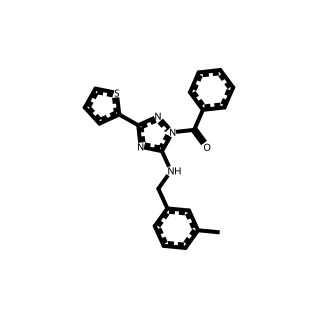 Cc1cccc(CNc2nc(-c3cccs3)nn2C(=O)c2ccccc2)c1